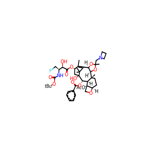 CC(=O)O[C@@]12CO[C@@H]1CC[C@@]1(C)[C@@H]3OC(C)(CN4CCC4)O[C@@H]3C3=C(C)[C@@H](OC(=O)[C@H](O)[C@H](CF)NC(=O)OC(C)(C)C)C[C@@](O)([C@@H](OC(=O)c4ccccc4)[C@@H]12)C3(C)C